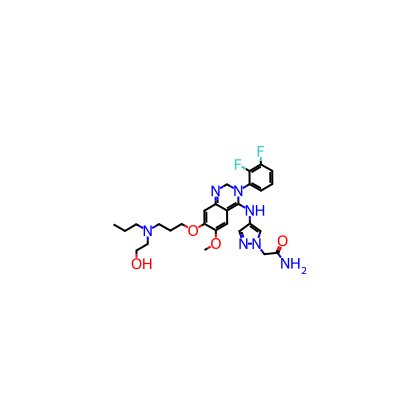 CCCN(CCO)CCCOc1cc2c(cc1OC)=C(Nc1cnn(CC(N)=O)c1)N(c1cccc(F)c1F)CN=2